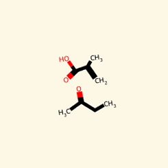 C=C(C)C(=O)O.CCC(C)=O